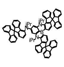 CC(C)N(c1cc2c3c(c1)N(C(C)C)c1c(ccc4c1-c1ccccc1C41c4ccccc4-c4ccccc41)B3c1ccc3c(c1N2C(C)C)-c1ccccc1C31c2ccccc2-c2ccccc21)c1cccc2c1-c1ccccc1C21c2ccccc2-c2ccccc21